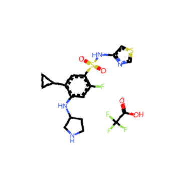 O=C(O)C(F)(F)F.O=S(=O)(Nc1cscn1)c1cc(C2CC2)c(NC2CCNC2)cc1F